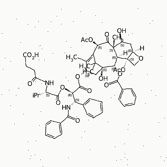 CC(=O)O[C@H]1C(=O)[C@@]2(C)[C@H]([C@H](OC(=O)c3ccccc3)[C@]3(O)C[C@H](OC(=O)[C@H](OC(=O)[C@@H](NC(=O)CCC(=O)O)C(C)C)[C@@H](NC(=O)c4ccccc4)c4ccccc4)C(C)=C1C3(C)C)[C@]1(OC(C)=O)CO[C@@H]1C[C@@H]2O